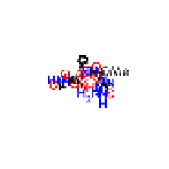 COC1C(O)[C@@H](COP(=O)(NCc2ccccc2)OC2C[C@H](n3cc(C)c(=O)[nH]c3=O)O[C@@H]2CO)O[C@H]1n1cnc2c(=O)[nH]c(N)nc21